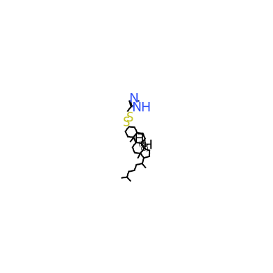 CC(C)CCCC(C)C1CC[C@H]2[C@H]3CC=C4CC(SSCc5cnc[nH]5)CCC4(C)C3CCC12C